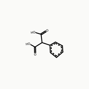 O=C(O)C(C(=O)O)c1cc[c]cc1